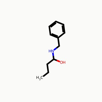 CCCC(O)NCc1ccccc1